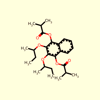 CCC(C)Oc1c(OC(C)CC)c(OC(=O)C(C)C)c2ccccc2c1OC(=O)C(C)C